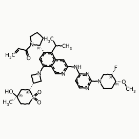 C=CC(=O)N1CCC[C@@H]1c1cc(N2CC([C@H]3C[C@](C)(O)CCS3(=O)=O)C2)c2cnc(Nc3ccnc(N4CC[C@@H](OC)[C@@H](F)C4)n3)cc2c1C(C)C